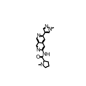 CN1CCCC1C(=O)Nc1cc2cc(-c3cnn(C)c3)ncc2cn1